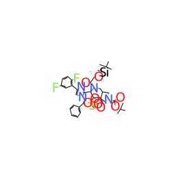 C[C@H](O[Si](C)(C)C(C)(C)C)C(=O)N(CC1CN(C(=O)OC(C)(C)C)CC1OS(C)(=O)=O)C(c1nc(-c2cc(F)ccc2F)cn1Cc1ccccc1)C1CCOCC1